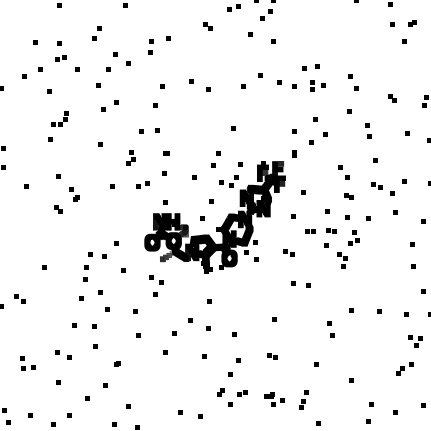 Cc1c(C(=O)N2CCN(c3ncc(C(F)(F)F)cn3)CC2)ccn1C[C@H](C)OC(N)=O